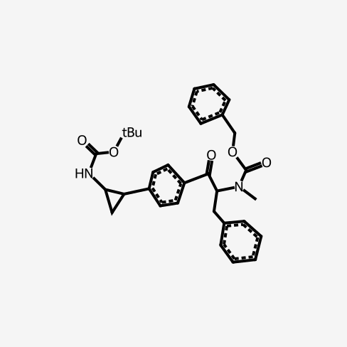 CN(C(=O)OCc1ccccc1)C(Cc1ccccc1)C(=O)c1ccc(C2CC2NC(=O)OC(C)(C)C)cc1